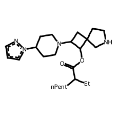 CCCCCC(CC)C(=O)OC1C(N2CCC(n3cccn3)CC2)CC12CCNC2